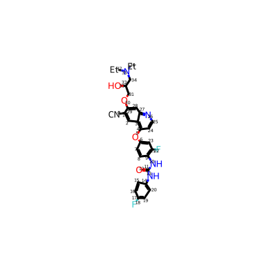 [C-]#[N+]c1cc2c(Oc3ccc(NC(=O)Nc4ccc(F)cc4)c(F)c3)ccnc2cc1OCC(O)CN(CC)CC